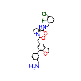 NCc1cccc(-c2cc(CC(=O)N3CCC[C@H]3C(=O)NCc3cccc(Cl)c3F)cc3ccoc23)c1